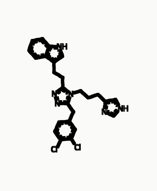 Clc1ccc(Cc2nnc(CCc3c[nH]c4ccccc34)n2CCCc2c[nH]cn2)cc1Cl